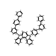 c1ccc(-c2ccc(-c3cccc(-n4c5ccccc5c5c6c7ccccc7n(-c7ccc(-c8cccc(-c9ccccc9)c8)cc7)c6ccc54)c3)cc2)cc1